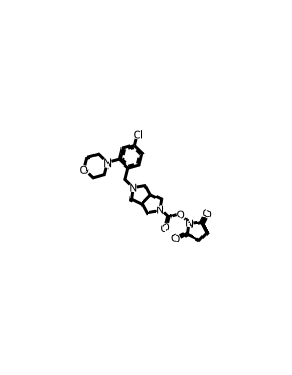 O=C(ON1C(=O)CCC1=O)N1CC2CN(Cc3ccc(Cl)cc3N3CCOCC3)CC2C1